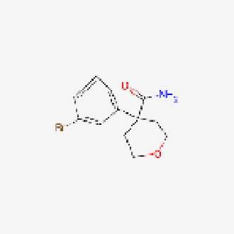 NC(=O)C1(c2cccc(Br)c2)CCOCC1